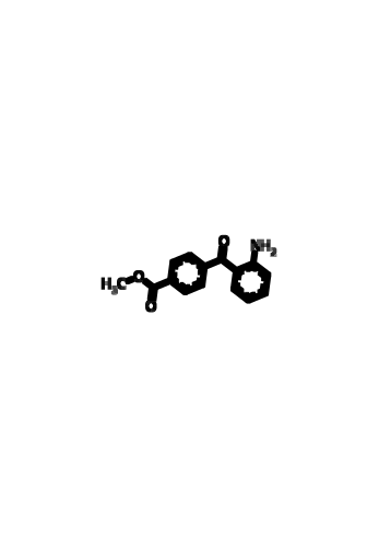 COC(=O)c1ccc(C(=O)c2ccccc2N)cc1